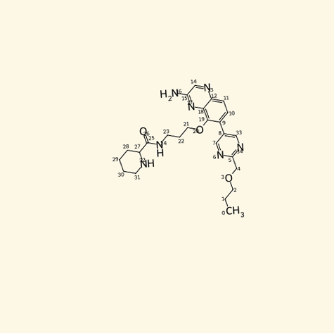 CCCOCc1ncc(-c2ccc3ncc(N)nc3c2OCCCNC(=O)C2CCCCN2)cn1